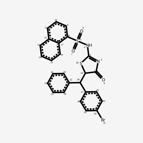 O=C1N=C(NS(=O)(=O)c2cccc3ccccc23)SC1C(c1ccccc1)c1ccc(Br)cc1